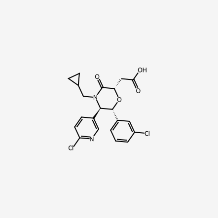 O=C(O)C[C@@H]1O[C@H](c2cccc(Cl)c2)[C@@H](c2ccc(Cl)nc2)N(CC2CC2)C1=O